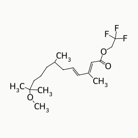 COC(C)(C)CCCC(C)CC=CC(C)=CC(=O)OCC(F)(F)F